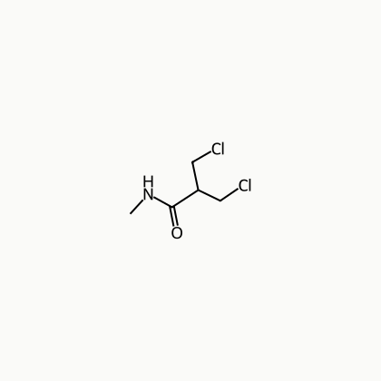 CNC(=O)C(CCl)CCl